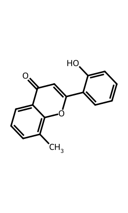 Cc1cccc2c(=O)cc(-c3ccccc3O)oc12